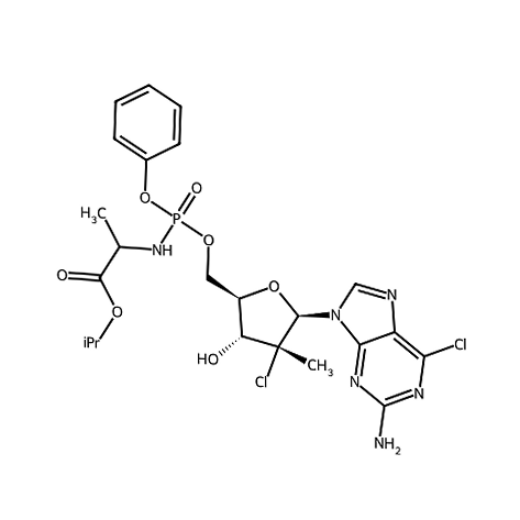 CC(C)OC(=O)C(C)NP(=O)(OC[C@H]1O[C@@H](n2cnc3c(Cl)nc(N)nc32)[C@](C)(Cl)[C@@H]1O)Oc1ccccc1